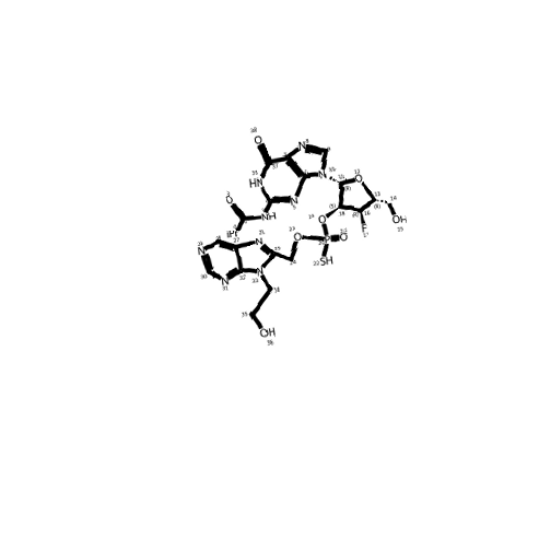 CC(C)C(=O)Nc1nc2c(ncn2[C@@H]2O[C@H](CO)[C@@H](F)[C@H]2OP(=O)(S)OCc2nc3cncnc3n2CCO)c(=O)[nH]1